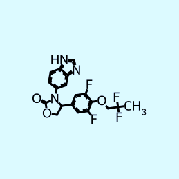 CC(F)(F)COc1c(F)cc(C2COC(=O)N2c2ccc3[nH]cnc3c2)cc1F